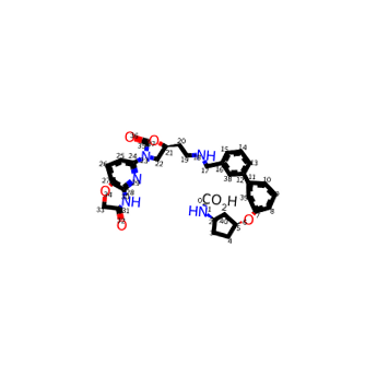 O=C(O)N[C@@H]1CC[C@@H](Oc2cccc(-c3cccc(CNCC[C@H]4CN(c5ccc6c(n5)NC(=O)CO6)C(=O)O4)c3)c2)C1